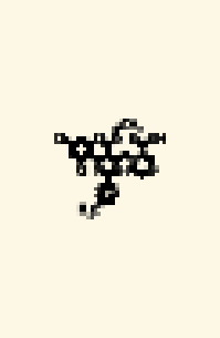 CCOC(=O)C1=C(CN2CCOCC2C(=O)O)NC(c2ncc(C)s2)=NC1c1ccc(Cl)cc1Cl